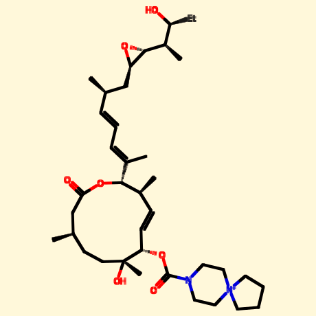 CC[C@H](O)[C@@H](C)[C@H]1O[C@@H]1C[C@H](C)/C=C/C=C(\C)[C@H]1OC(=O)C[C@H](C)CC[C@@](C)(O)[C@@H](OC(=O)N2CC[N+]3(CCCC3)CC2)/C=C/[C@@H]1C